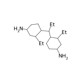 CCC1CC(N)CCC1C(CC)C1CCC(N)CC1CC